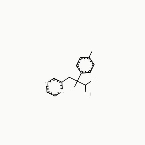 CC(C)C(O)(Cc1cnccn1)c1ccc(Cl)cc1